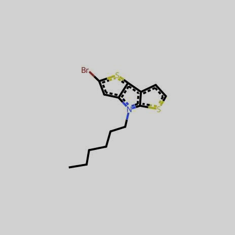 CCCCCCn1c2cc(Br)sc2c2ccsc21